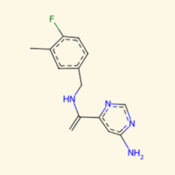 C=C(NCc1ccc(F)c(C)c1)c1cc(N)ncn1